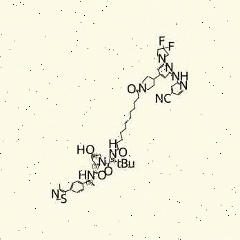 Cc1ncsc1-c1ccc([C@H](C)NC(=O)[C@@H]2C[C@@H](O)CN2C(=O)[C@@H](NC(=O)CCCCCCCCCCC(=O)N2CCC(c3cc(Nc4cc(C#N)ccn4)nc(N4CCC(F)(F)C4)c3)CC2)C(C)(C)C)cc1